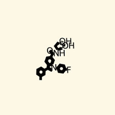 Cc1cccc(-c2cn(-c3ccc(F)cc3)c3cc(C(=O)NC4CCS(O)(O)C4)ccc23)c1